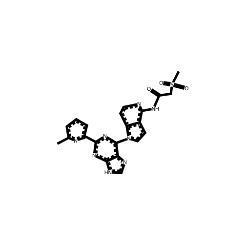 Cc1cccc(-c2nc(-n3ccc4c(NC(=O)CS(C)(=O)=O)nccc43)c3nc[nH]c3n2)n1